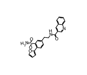 NS(=O)(=O)c1cc(CCNC(=O)c2cnc3ccccc3c2)ccc1-c1ccco1